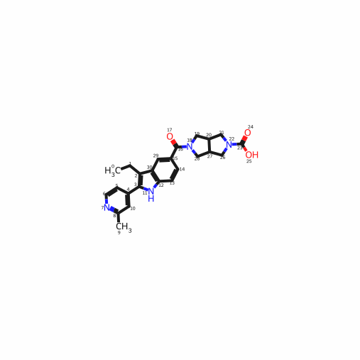 CCc1c(-c2ccnc(C)c2)[nH]c2ccc(C(=O)N3CC4CN(C(=O)O)CC4C3)cc12